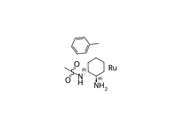 CS(=O)(=O)N[C@@H]1CCCC[C@H]1N.Cc1ccccc1.[Ru]